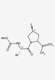 C=C(C)C1C[C@H](F)CN1C(=O)[C@@H](NC(=O)OC)C(C)C